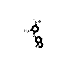 Cc1cc([N+](=O)[O-])ccc1Oc1ccc2cc[nH]c2c1